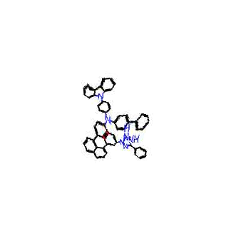 c1ccc(C2=NN(c3cccc(-c4cccc5cccc(-c6ccc(N(c7ccc(-c8ccccc8)cc7)c7ccc(-n8c9ccccc9c9ccccc98)cc7)cc6)c45)c3)NN2)cc1